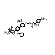 CS(=O)(=O)NC(=O)c1ccc(-c2ccc(OCCNC[C@H](O)c3ccc(N)cc3)cc2)cc1OC1CCCCC1.Cl.Cl